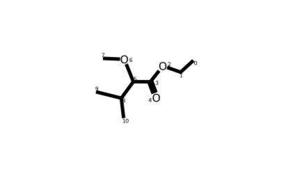 CCOC(=O)C(OC)C(C)C